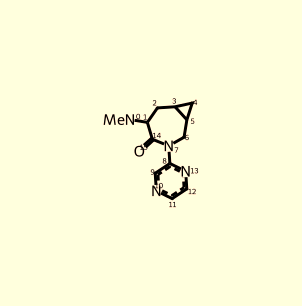 CNC1CC2CC2CN(c2cnccn2)C1=O